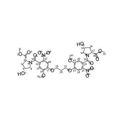 COC(=O)C1C[C@@H](O)CN1C(=O)c1cc(OC)c(OCCCOc2cc([N+](=O)[O-])c(C(=O)N3C[C@H](O)C[C@H]3C(=O)OC)cc2OC)cc1[N+](=O)[O-]